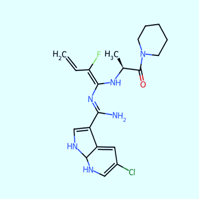 C=C/C(F)=C(\N=C(/N)C1=CNC2NC=C(Cl)C=C12)N[C@@H](C)C(=O)N1CCCCC1